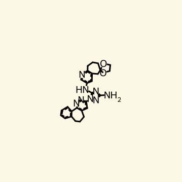 Nc1nc(Nc2cnc3c(c2)CC2(CCC3)OCCO2)n(-c2cc3c(nn2)-c2ccccc2CCC3)n1